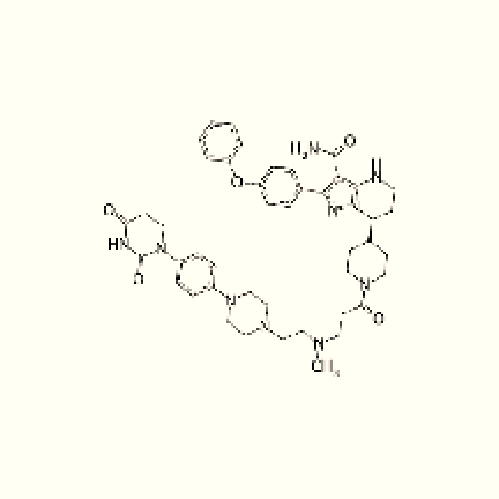 CN(CCC(=O)N1CCC([C@@H]2CCNc3c(C(N)=O)c(-c4ccc(Oc5ccccc5)cc4)nn32)CC1)CCN1CCN(c2ccc(N3CCC(=O)NC3=O)cc2)CC1